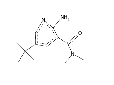 CN(C)C(=O)c1cc(C(C)(C)C)cnc1N